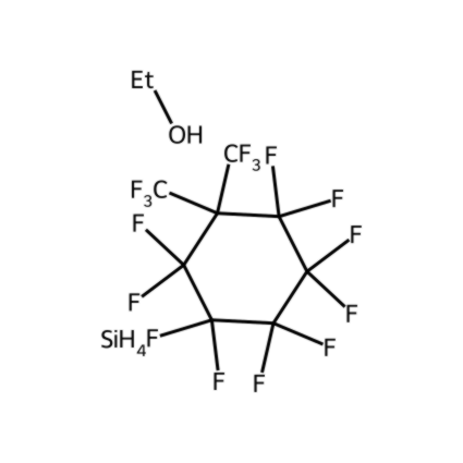 CCO.FC(F)(F)C1(C(F)(F)F)C(F)(F)C(F)(F)C(F)(F)C(F)(F)C1(F)F.[SiH4]